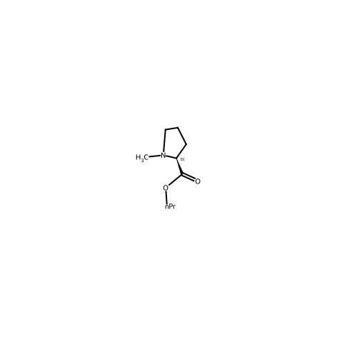 CCCOC(=O)[C@@H]1CCCN1C